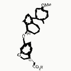 COc1ccc(C)c(-c2cccc3c2CC[C@H]3Oc2ccc3c(c2)OC[C@H]3CC(=O)O)c1